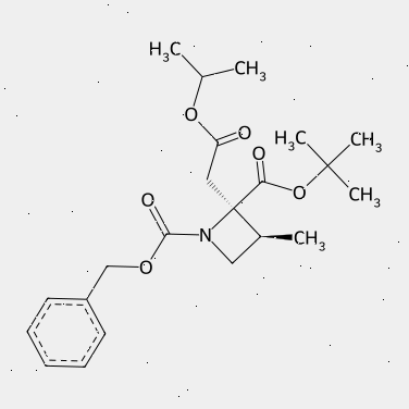 CC(C)OC(=O)C[C@]1(C(=O)OC(C)(C)C)[C@@H](C)CN1C(=O)OCc1ccccc1